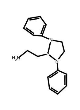 NCCP1N(c2ccccc2)CCN1c1ccccc1